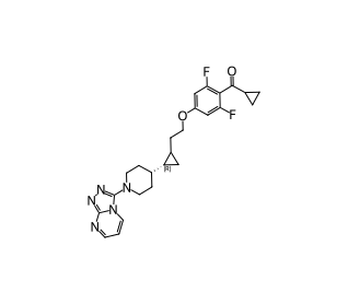 O=C(c1c(F)cc(OCCC2C[C@@H]2C2CCN(c3nnc4ncccn34)CC2)cc1F)C1CC1